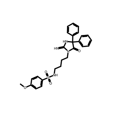 COc1ccc(S(=O)(=O)NCCCCN2C(=N)NC(c3ccccc3)(c3ccccc3)C2=O)cc1